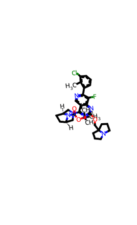 Cc1c(Cl)cccc1-c1ncc2c(N3C[C@H]4CC[C@@H](C3)N4C(=O)OC(C)(C)C)nc(OCC34CCCN3CCC4)nc2c1F